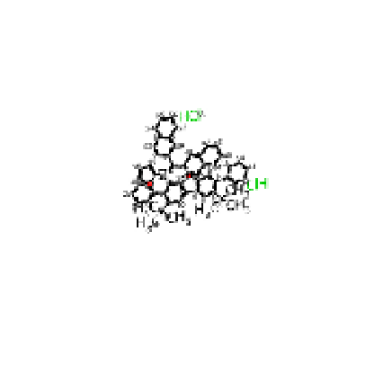 CC(C)(C)c1cc2c(cc1-c1ccccc1)Cc1c-2cc(C(C)(C)C)c(-c2ccccc2)[c]1[Zr]([C]1=CC=CC1)=[C](c1ccc2ccccc2c1)c1ccc2ccccc2c1.Cl.Cl